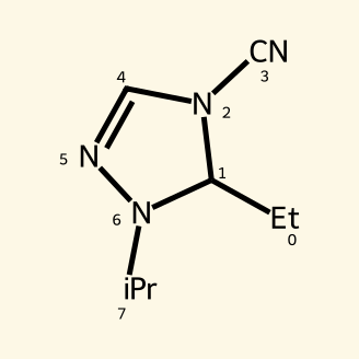 CCC1N(C#N)C=NN1C(C)C